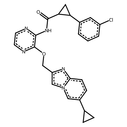 O=C(Nc1nccnc1OCc1cn2cc(C3CC3)ccc2n1)C1CC1c1cccc(Cl)c1